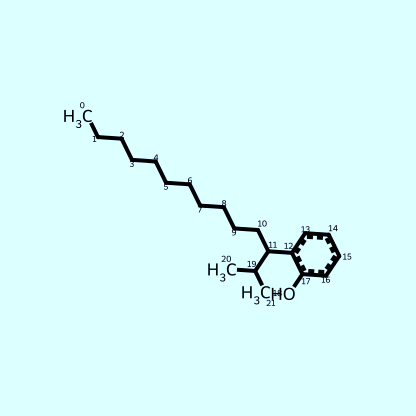 CCCCCCCCCCCC(c1ccccc1O)C(C)C